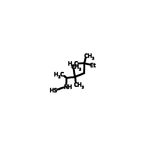 CCC(C)(C)CC(C)(C)C(C)NS